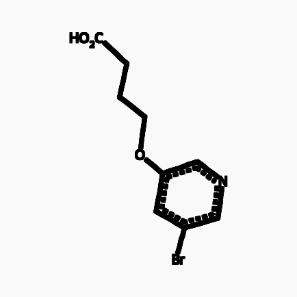 O=C(O)CCCOc1cncc(Br)c1